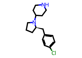 Clc1ccc(C[C@H]2CCCN2C2CCNCC2)cc1